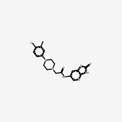 Cc1cc(N2CCN(CC(=O)Nc3cnc4[nH]c(=O)oc4c3)CC2)ccc1Cl